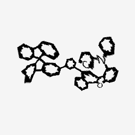 c1ccc(N(c2ccccc2)c2cccc3oc4c5ccccc5c(-c5cccc(-c6ccc7c(c6)C6(c8ccccc8-c8ccccc86)c6ccccc6-7)c5)cc4c23)cc1